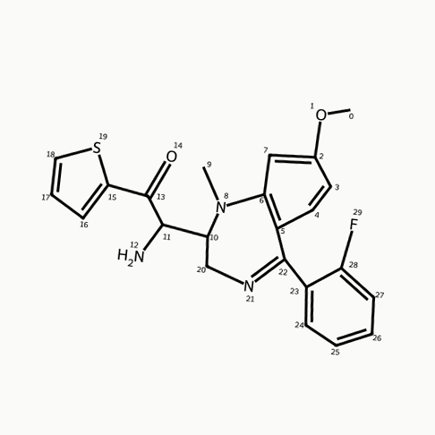 COc1ccc2c(c1)N(C)C(C(N)C(=O)c1cccs1)CN=C2c1ccccc1F